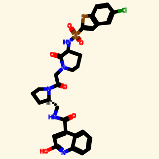 O=C(NC[C@@H]1CCCN1C(=O)CN1CCCC(NS(=O)(=O)c2cc3cc(Cl)ccc3s2)C1=O)c1cc(O)nc2ccccc12